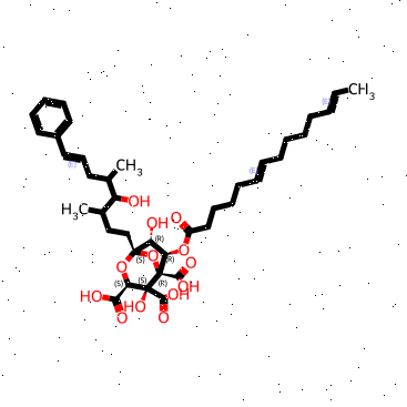 C/C=C/CCCC/C=C/CCCCC(=O)O[C@@H]1[C@@H](O)[C@@]2(CCC(C)C(O)C(C)C/C=C/c3ccccc3)O[C@H](C(=O)O)[C@@](O)(C(=O)O)[C@]1(C(=O)O)O2